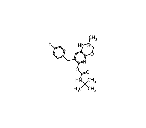 C[C@H]1COc2nc(OC(=O)NC(C)(C)C)c(Cc3ccc(F)cc3)cc2N1